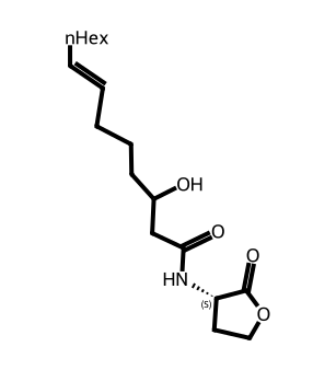 CCCCCCC=CCCCC(O)CC(=O)N[C@H]1CCOC1=O